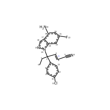 CCC(/C=C/C#N)(c1ccc(Cl)cc1)n1ncc2c(N)cc(F)cc21